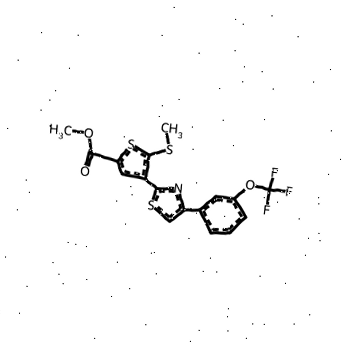 COC(=O)c1cc(-c2nc(-c3cccc(OC(F)(F)F)c3)cs2)c(SC)s1